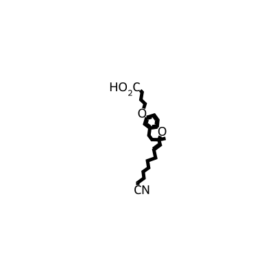 CC1(C=CCCCCCCC#N)CCc2cc(OCCCC(=O)O)ccc2O1